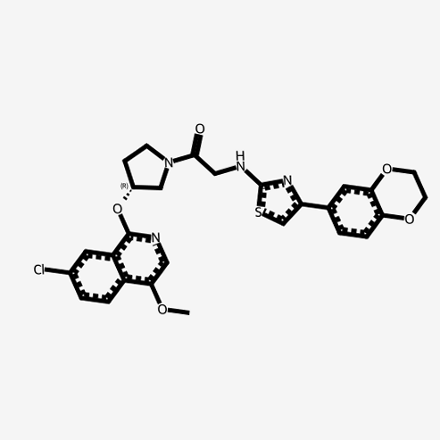 COc1cnc(O[C@@H]2CCN(C(=O)CNc3nc(-c4ccc5c(c4)OCCO5)cs3)C2)c2cc(Cl)ccc12